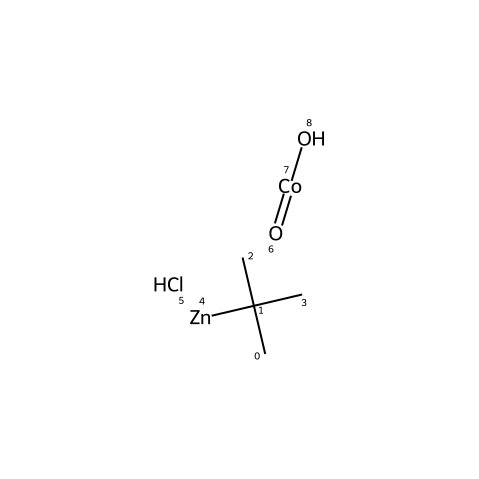 C[C](C)(C)[Zn].Cl.[O]=[Co][OH]